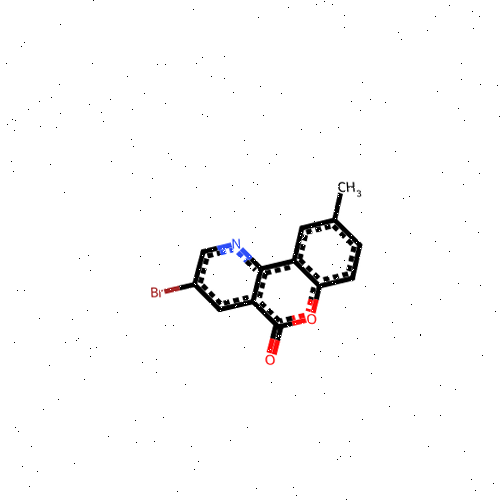 Cc1ccc2oc(=O)c3cc(Br)cnc3c2c1